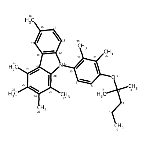 CCCC(C)(C)Oc1ccc(-n2c3ccc(C)cc3c3c(C)c(C)c(C)c(C)c32)c(C)c1C